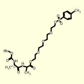 Cc1ccc(S(=O)(=O)OCCOCCOCCOCCOC(=O)C(C)NC(=O)[C@H](C)NC(=O)OC(C)(C)C)cc1